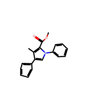 COC(=O)c1c(C)c(-c2ccccc2)cn1-c1ccccc1